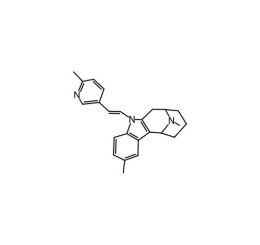 Cc1ccc2c(c1)c1c(n2/C=C/c2ccc(C)nc2)CC2CCCC1N2C